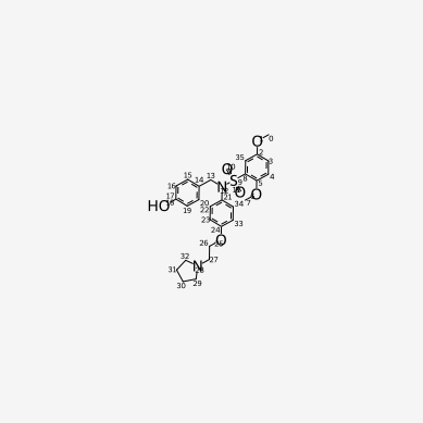 COc1ccc(OC)c(S(=O)(=O)N(Cc2ccc(O)cc2)c2ccc(OCCN3CCCC3)cc2)c1